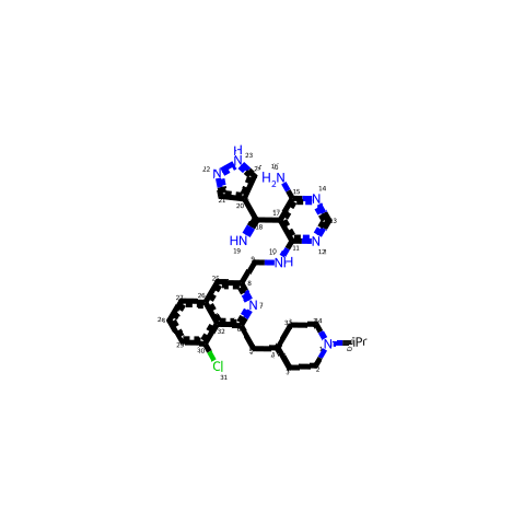 CC(C)N1CCC(Cc2nc(CNc3ncnc(N)c3C(=N)c3cn[nH]c3)cc3cccc(Cl)c23)CC1